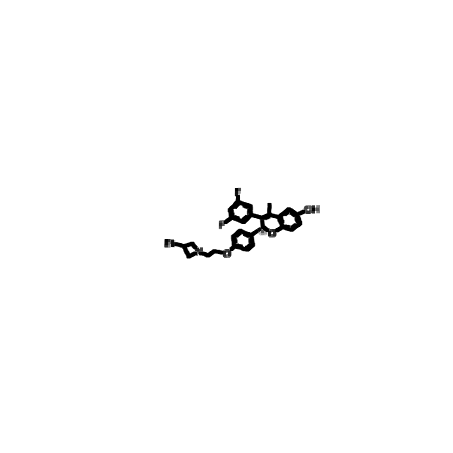 CCC1CN(CCOc2ccc([C@@H]3Oc4ccc(O)cc4C(C)=C3c3cc(F)cc(F)c3)cc2)C1